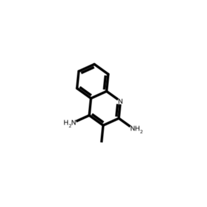 Cc1c(N)nc2ccccc2c1N